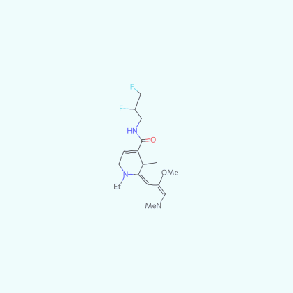 CCN1CC=C(C(=O)NCC(F)CF)C(C)/C1=C\C(=C/NC)OC